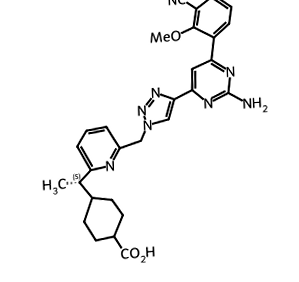 COc1c(C#N)cccc1-c1cc(-c2cn(Cc3cccc([C@@H](C)C4CCC(C(=O)O)CC4)n3)nn2)nc(N)n1